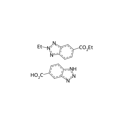 CCOC(=O)c1ccc2nn(CC)nc2c1.O=C(O)c1ccc2[nH]nnc2c1